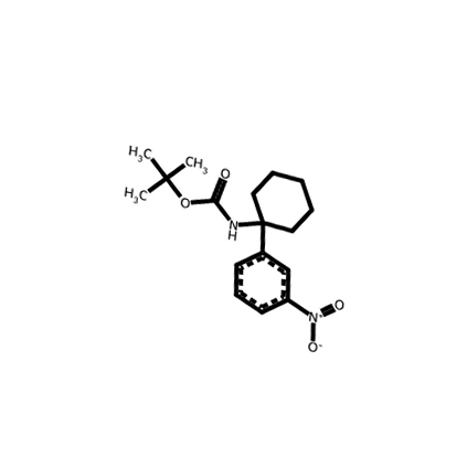 CC(C)(C)OC(=O)NC1(c2cccc([N+](=O)[O-])c2)CCCCC1